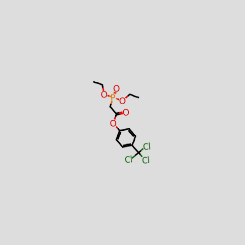 CCOP(=O)(CC(=O)Oc1ccc(C(Cl)(Cl)Cl)cc1)OCC